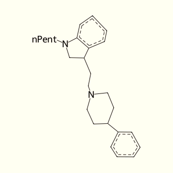 CCCCCN1CC(CCN2CCC(c3ccccc3)CC2)c2ccccc21